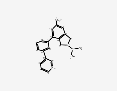 CC(C)(C)[S+]([O-])N1Cc2cc(C(=O)O)nc(-c3cccc(-c4cccnc4)c3)c2C1